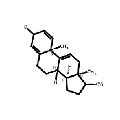 C[C@]12C=CC(O)C=C1CC[C@@H]1C2=CC[C@]2(C)C(O)CC[C@@H]12